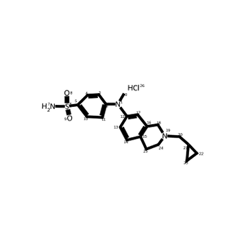 CN(c1ccc(S(N)(=O)=O)cc1)c1ccc2c(c1)CN(CC1CC1)CC2.Cl